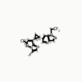 Fc1cnc2c([C@H]3C[C@@H]3c3cnc4cnn(CC(F)(F)F)c4c3)cc(Cl)nn12